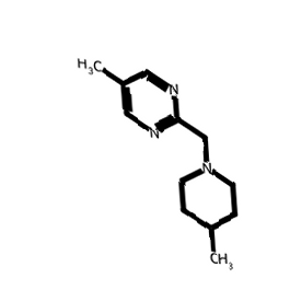 Cc1cnc(CN2CCC(C)CC2)nc1